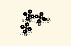 CCc1cc(O[N+](Oc2ccccc2)(Oc2ccccc2)Oc2ccccc2)c(C)c(CC)c1CC.CCc1cc(O[N+](Oc2ccccc2)(Oc2ccccc2)Oc2ccccc2)c(C)c(CC)c1CC.CCc1cc(O[N+](Oc2ccccc2)(Oc2ccccc2)Oc2ccccc2)c(C)c(CC)c1CC.[O-]B([O-])[O-]